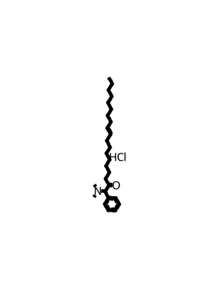 CCCCCCCCC=CCCCCCCCC(=O)C(c1ccccc1)N(C)C.Cl